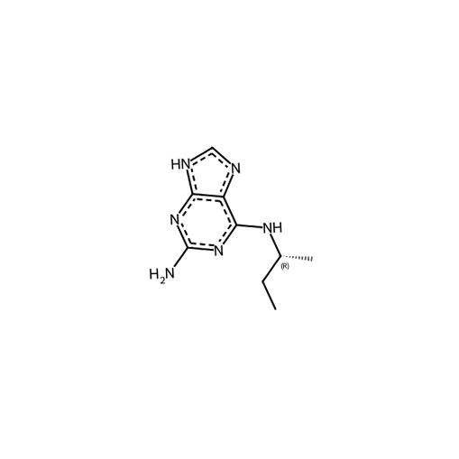 CC[C@@H](C)Nc1nc(N)nc2[nH]cnc12